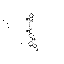 O=C(CCCC(=O)NC1CCC(Nc2ccnc3cc(Cl)ccc23)CC1)Nc1ccccc1